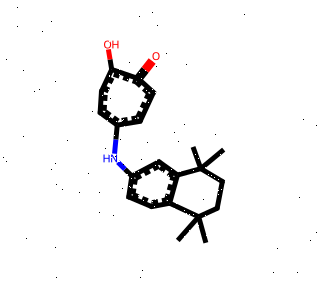 CC1(C)CCC(C)(C)c2cc(Nc3ccc(O)c(=O)cc3)ccc21